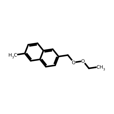 CCOOCc1ccc2cc(C)ccc2c1